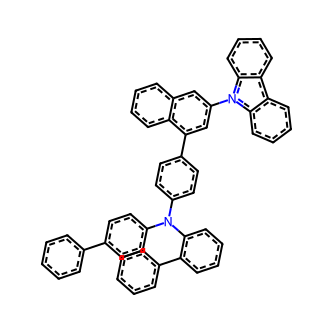 c1ccc(-c2ccc(N(c3ccc(-c4cc(-n5c6ccccc6c6ccccc65)cc5ccccc45)cc3)c3ccccc3-c3ccccc3)cc2)cc1